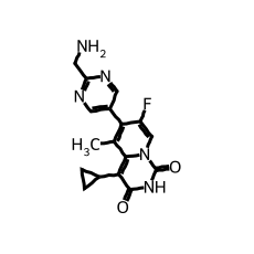 Cc1c(-c2cnc(CN)nc2)c(F)cn2c(=O)[nH]c(=O)c(C3CC3)c12